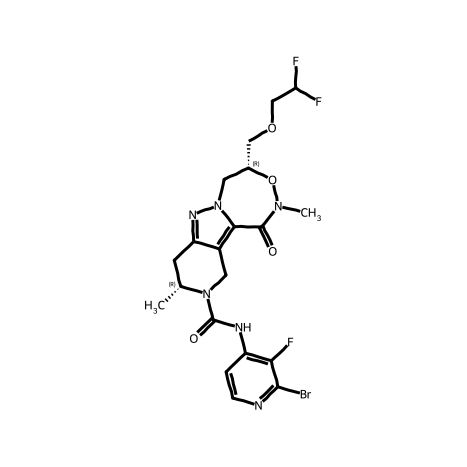 C[C@@H]1Cc2nn3c(c2CN1C(=O)Nc1ccnc(Br)c1F)C(=O)N(C)O[C@@H](COCC(F)F)C3